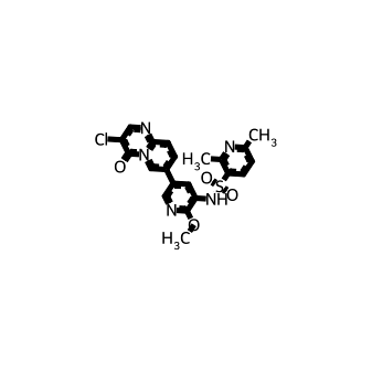 COc1ncc(-c2ccc3ncc(Cl)c(=O)n3c2)cc1NS(=O)(=O)c1ccc(C)nc1C